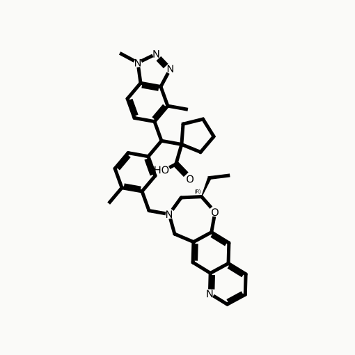 CC[C@@H]1CN(Cc2cc(C(c3ccc4c(nnn4C)c3C)C3(C(=O)O)CCCC3)ccc2C)Cc2cc3ncccc3cc2O1